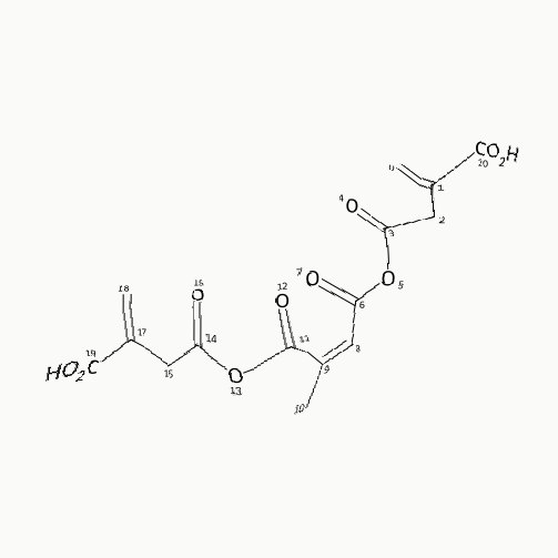 C=C(CC(=O)OC(=O)/C=C(/C)C(=O)OC(=O)CC(=C)C(=O)O)C(=O)O